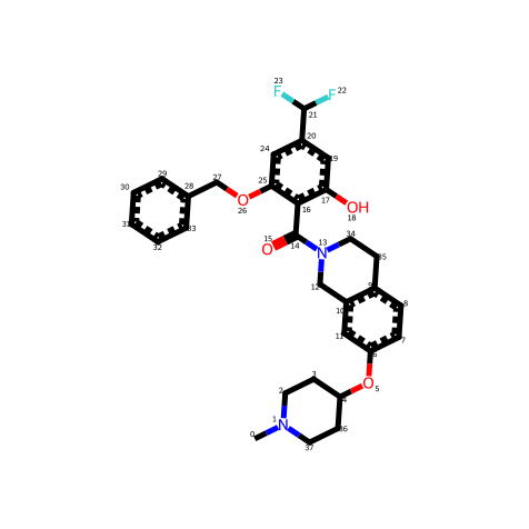 CN1CCC(Oc2ccc3c(c2)CN(C(=O)c2c(O)cc(C(F)F)cc2OCc2ccccc2)CC3)CC1